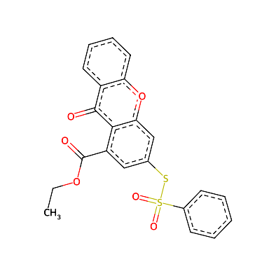 CCOC(=O)c1cc(SS(=O)(=O)c2ccccc2)cc2oc3ccccc3c(=O)c12